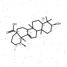 C[C@H]1[C@H](C)CC[C@]2(C(=O)O)CC[C@]3(C)C(=CCC4C5(C)CC[C@H](O)C(C)(C)[C@@H]5CCC43C)[C@H]12